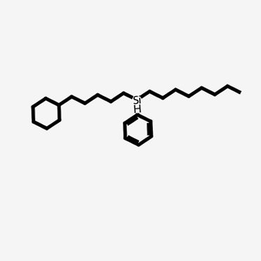 CCCCCCCC[SiH](CCCCCC1CCCCC1)c1ccccc1